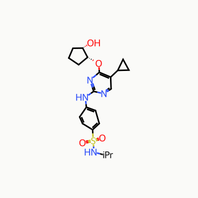 CC(C)NS(=O)(=O)c1ccc(Nc2ncc(C3CC3)c(O[C@@H]3CCC[C@@H]3O)n2)cc1